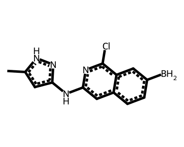 Bc1ccc2cc(Nc3cc(C)[nH]n3)nc(Cl)c2c1